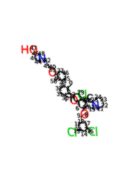 Cc1c(COc2cc(OCc3cc(Cl)cc(Cl)c3)c(CN3CCCC[C@H]3C(=O)O)cc2Cl)cccc1-c1cccc(OCCCN2CC[C@@H](O)C2)c1C